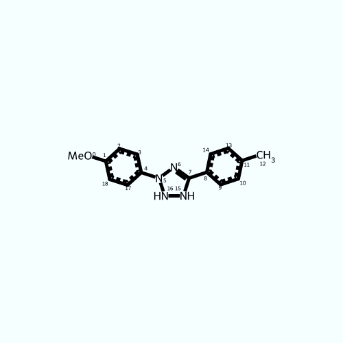 COc1ccc(N2N=C(c3ccc(C)cc3)NN2)cc1